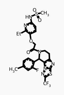 CCc1nc(NS(C)(=O)=O)ccc1OCC(=O)N1CCc2nc3sc(C(F)(F)F)nn3c2C1c1ccc(C)cc1F